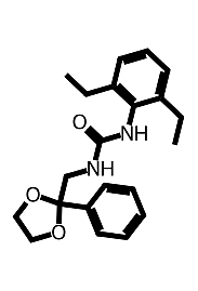 CCc1cccc(CC)c1NC(=O)NCC1(c2ccccc2)OCCO1